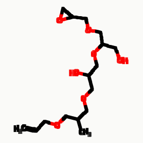 C=CCOCC(C)COCC(O)COC(CO)COCC1CO1